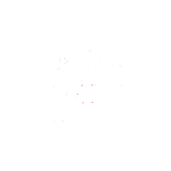 [Cl][Pd][Cl].c1ccc(P(c2ccccc2)c2cccc3c2Oc2c(cccc2P(c2ccccc2)c2ccccc2)N3)cc1